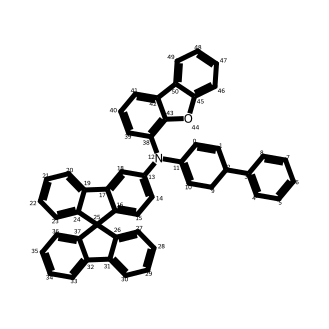 C1=CC(c2ccccc2)CC=C1N(c1ccc2c(c1)-c1ccccc1C21c2ccccc2-c2ccccc21)c1cccc2c1oc1ccccc12